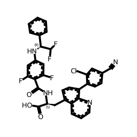 N#Cc1ccc(-c2ccc(C[C@H](NC(=O)c3c(F)cc(N[C@H](c4ccccc4)C(F)F)cc3F)C(=O)O)c3cccnc23)c(Cl)c1